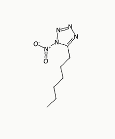 CCCCCCc1nnnn1[N+](=O)[O-]